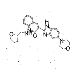 O=c1c(-c2nc3cc(N4CCOCC4)ccc3[nH]2)cc2ccccc2n1NCC1CCCO1